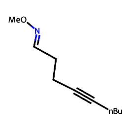 [CH2]CCCC#CCCC=NOC